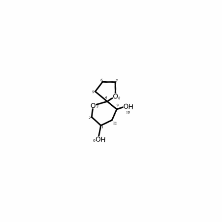 OC1COC2(CCCO2)C(O)C1